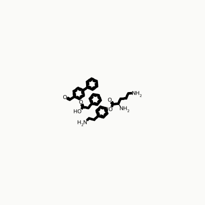 NCCC[C@H](N)C(=O)O.NCCc1ccccc1.O=C(O)Cc1ccccc1.O=Cc1ccc(-c2ccccc2)cc1